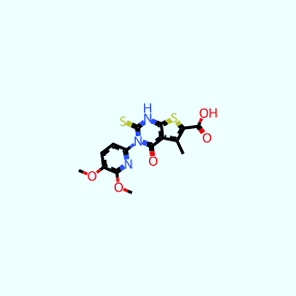 COc1ccc(-n2c(=S)[nH]c3sc(C(=O)O)c(C)c3c2=O)nc1OC